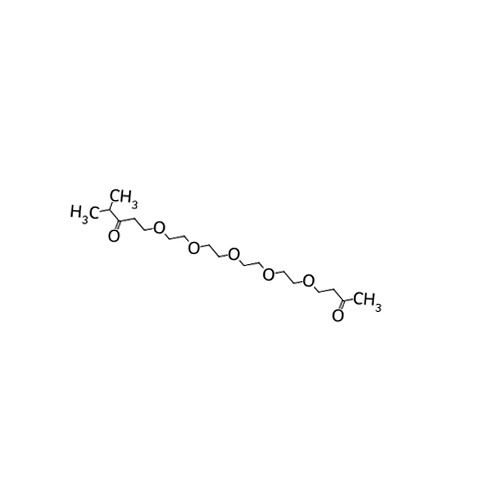 CC(=O)CCOCCOCCOCCOCCOCCC(=O)C(C)C